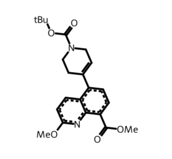 COC(=O)c1ccc(C2=CCN(C(=O)OC(C)(C)C)CC2)c2ccc(OC)nc12